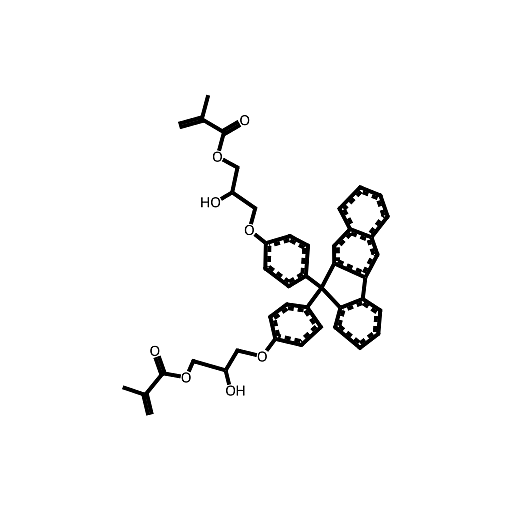 C=C(C)C(=O)OCC(O)COc1ccc(C2(c3ccc(OCC(O)COC(=O)C(=C)C)cc3)c3ccccc3-c3cc4ccccc4cc32)cc1